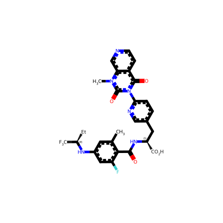 CC[C@@H](Nc1cc(C)c(C(=O)N[C@@H](Cc2ccc(-n3c(=O)c4ccncc4n(C)c3=O)nc2)C(=O)O)c(F)c1)C(F)(F)F